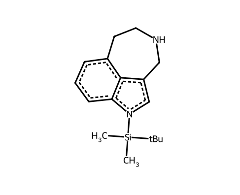 CC(C)(C)[Si](C)(C)n1cc2c3c(cccc31)CCNC2